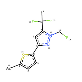 CC(=O)c1ccc(-c2cc(C(C)(F)F)n(CF)n2)s1